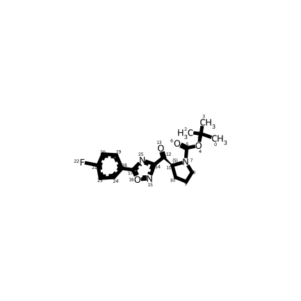 CC(C)(C)OC(=O)N1CCC[C@H]1C(=O)c1noc(-c2ccc(F)cc2)n1